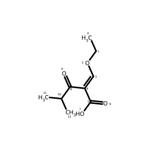 CCO/C=C(/C(=O)O)C(=O)C(C)C